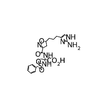 CC(NC(=O)C1=NOC(CCCc2c[nH]c(N)n2)C1)(NS(=O)(=O)c1ccccc1)C(=O)O